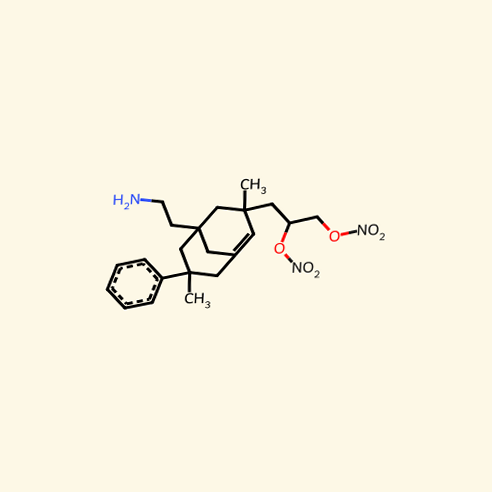 CC1(CC(CO[N+](=O)[O-])O[N+](=O)[O-])C=C2CC(CCN)(C1)CC(C)(c1ccccc1)C2